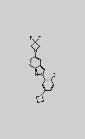 FC1(F)CN(c2cnc3nn(-c4cc(N5CCC5)ccc4Cl)cc3c2)C1